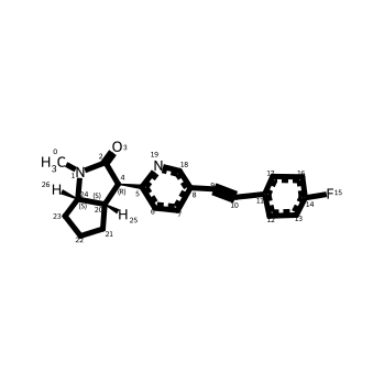 CN1C(=O)[C@@H](c2ccc(C#Cc3ccc(F)cc3)cn2)[C@@H]2CCC[C@@H]21